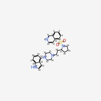 O=S(=O)(c1cccc2cnccc12)N1CCCC1CCN1CCN(c2cccc3[nH]ccc23)CC1